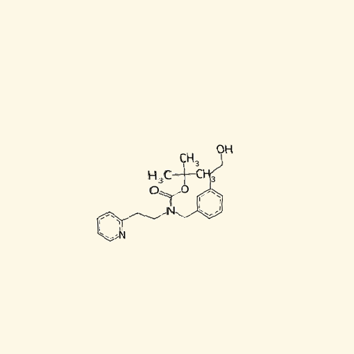 CC(C)(C)OC(=O)N(CCc1ccccn1)Cc1cccc(CCO)c1